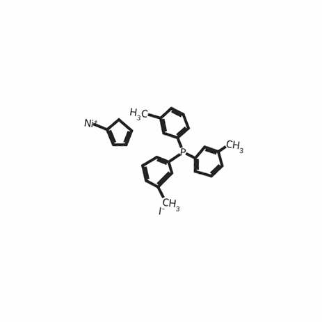 Cc1cccc(P(c2cccc(C)c2)c2cccc(C)c2)c1.[I-].[Ni+][C]1=CC=CC1